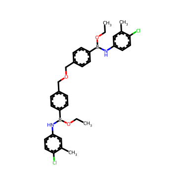 CCOB(Nc1ccc(Cl)c(C)c1)c1ccc(COCc2ccc(B(Nc3ccc(Cl)c(C)c3)OCC)cc2)cc1